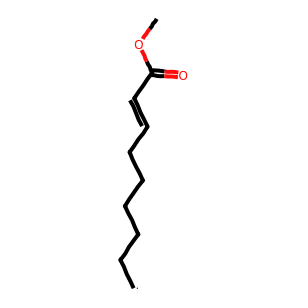 [CH2]CCCCCC=CC(=O)OC